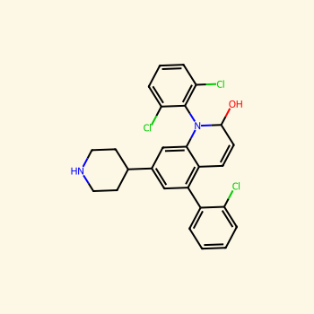 OC1C=Cc2c(-c3ccccc3Cl)cc(C3CCNCC3)cc2N1c1c(Cl)cccc1Cl